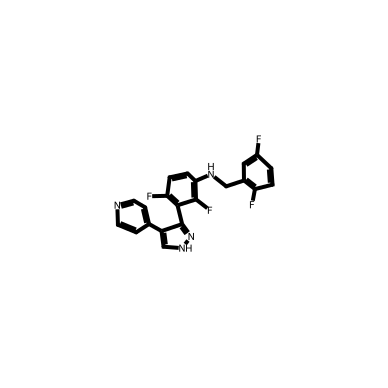 Fc1ccc(F)c(CNc2ccc(F)c(-c3n[nH]cc3-c3ccncc3)c2F)c1